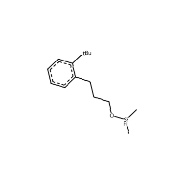 C[SiH](C)OCCCc1ccccc1C(C)(C)C